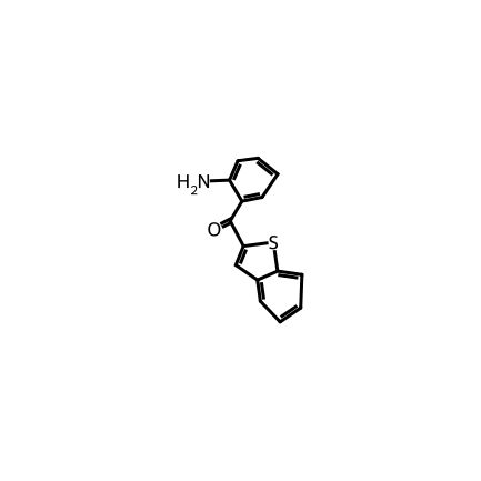 Nc1ccccc1C(=O)c1cc2ccccc2s1